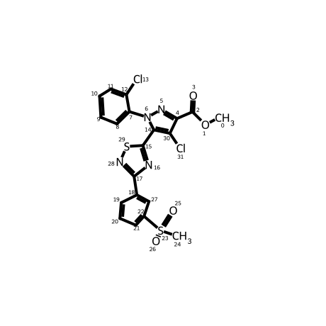 COC(=O)c1nn(-c2ccccc2Cl)c(-c2nc(-c3cccc(S(C)(=O)=O)c3)ns2)c1Cl